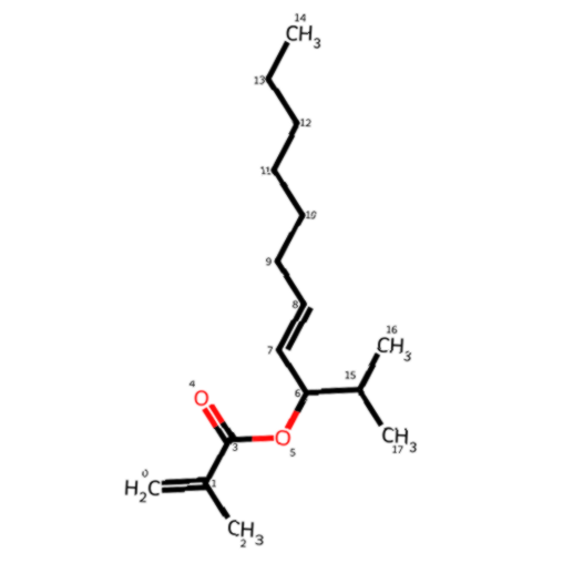 C=C(C)C(=O)OC(C=CCCCCCC)[C](C)C